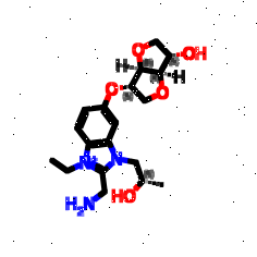 CC[n+]1c(CN)n(C[C@H](C)O)c2cc(O[C@H]3CO[C@H]4[C@@H]3OC[C@@H]4O)ccc21